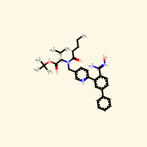 CCCCC(=O)N(Cc1ccc(-c2cc(-c3ccccc3)ccc2/C(N)=N/O)nc1)[C@H](C(=O)OC(C)(C)C)C(C)C